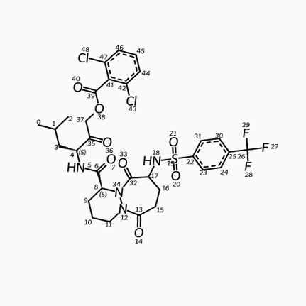 CC(C)C[C@H](NC(=O)[C@@H]1CCCN2C(=O)CCC(NS(=O)(=O)c3ccc(C(F)(F)F)cc3)C(=O)N12)C(=O)COC(=O)c1c(Cl)cccc1Cl